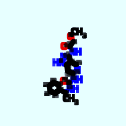 COCC(=O)Nc1n[nH]c2cc(NC(=O)NC(C)c3ccccc3)ncc12